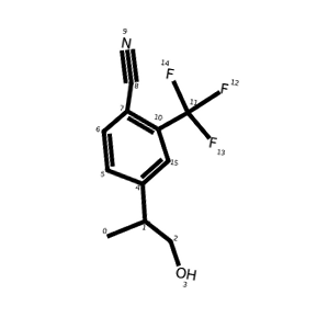 C[C](CO)c1ccc(C#N)c(C(F)(F)F)c1